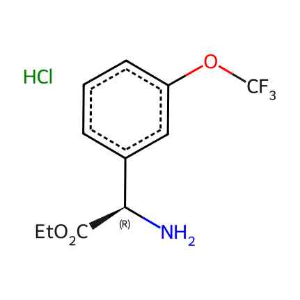 CCOC(=O)[C@H](N)c1cccc(OC(F)(F)F)c1.Cl